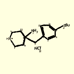 CC(C)(C)c1ccc(CC2(N)CCNCC2)cc1.Cl